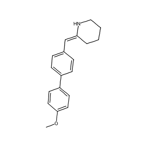 COc1ccc(-c2ccc(C=C3CCCCN3)cc2)cc1